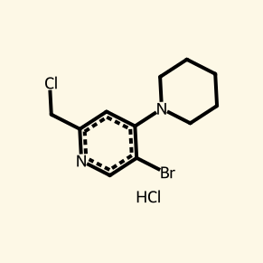 Cl.ClCc1cc(N2CCCCC2)c(Br)cn1